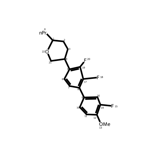 CCCC1CCC(c2ccc(-c3ccc(OC)c(F)c3)c(F)c2F)CO1